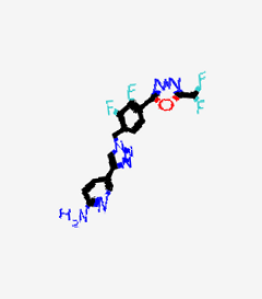 Nc1ccc(-c2cn(Cc3ccc(-c4nnc(C(F)F)o4)c(F)c3F)nn2)cn1